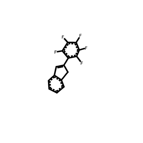 Fc1c(F)c(F)c(C2=Cc3ccccc3C2)c(F)c1F